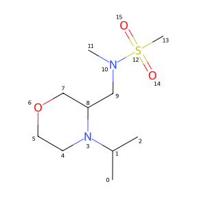 CC(C)N1CCOCC1CN(C)S(C)(=O)=O